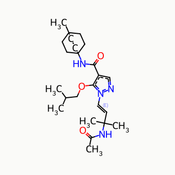 CC(=O)NC(C)(C)/C=C/n1ncc(C(=O)NC23CCC(C)(CC2)CC3)c1OCC(C)C